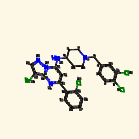 Clc1ccc(CN2CCC(Nc3cc(-c4ccccc4Cl)nc4c(Br)cnn34)CC2)cc1Cl